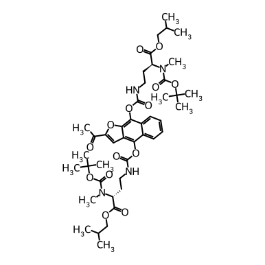 CC(=O)c1cc2c(OC(=O)NCC[C@H](C(=O)OCC(C)C)N(C)C(=O)OC(C)(C)C)c3ccccc3c(OC(=O)NCC[C@@H](C(=O)OCC(C)C)N(C)C(=O)OC(C)(C)C)c2o1